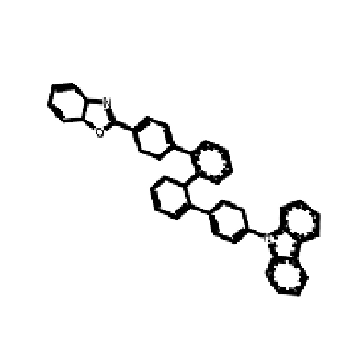 C1=CCC(c2ccccc2C2=CC=C(C3=NC4C=CC=CC4O3)CC2)C(C2=CC=C(n3c4ccccc4c4ccccc43)CC2)=C1